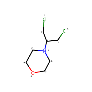 ClCC(CCl)N1CCOCC1